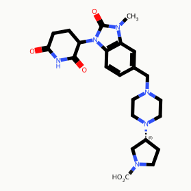 Cn1c(=O)n(C2CCC(=O)NC2=O)c2ccc(CN3CCN([C@@H]4CCN(C(=O)O)C4)CC3)cc21